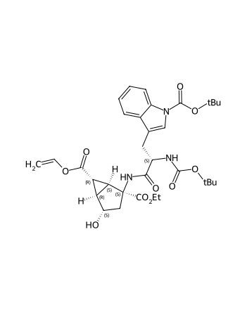 C=COC(=O)[C@H]1[C@H]2[C@@H]1[C@](NC(=O)[C@H](Cc1cn(C(=O)OC(C)(C)C)c3ccccc13)NC(=O)OC(C)(C)C)(C(=O)OCC)C[C@@H]2O